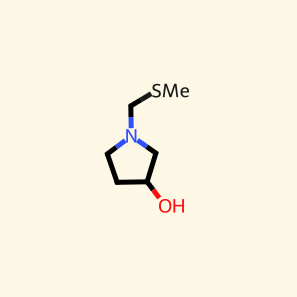 CSCN1CCC(O)C1